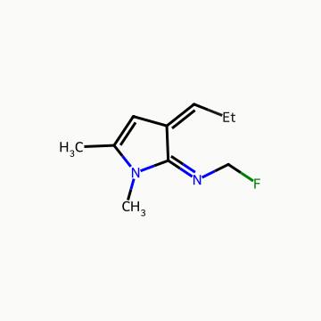 CC/C=C1/C=C(C)N(C)/C1=N/CF